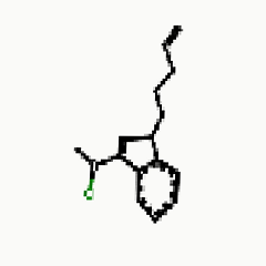 C=CCCCC1C=C(B(C)Cl)c2ccccc21